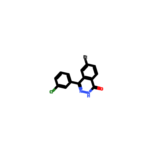 CCc1ccc2c(=O)[nH]nc(-c3cccc(Cl)c3)c2c1